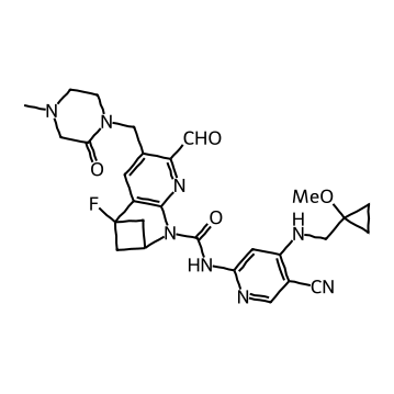 COC1(CNc2cc(NC(=O)N3c4nc(C=O)c(CN5CCN(C)CC5=O)cc4C4(F)CC3C4)ncc2C#N)CC1